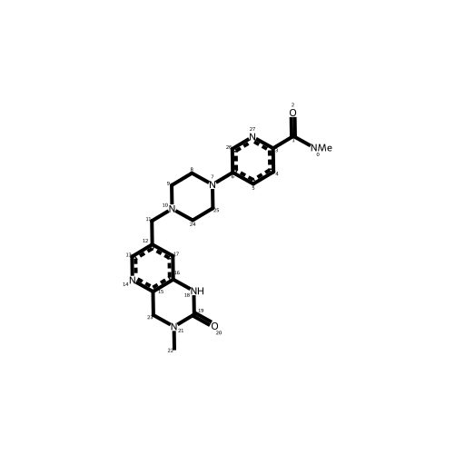 CNC(=O)c1ccc(N2CCN(Cc3cnc4c(c3)NC(=O)N(C)C4)CC2)cn1